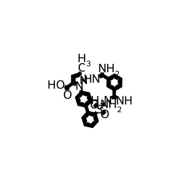 Cc1cc(C(=O)O)n(-c2ccc(-c3ccccc3S(N)(=O)=O)cc2)n1.N=C(N)c1cccc(C(=N)N)c1